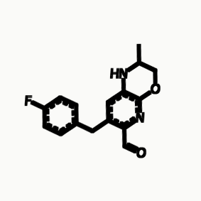 CC1COc2nc(C=O)c(Cc3ccc(F)cc3)cc2N1